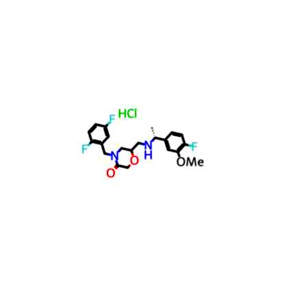 COc1cc([C@@H](C)NCC2CN(Cc3cc(F)ccc3F)C(=O)CO2)ccc1F.Cl